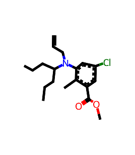 C=CCN(c1cc(Cl)cc(C(=O)OC)c1C)C(CCC)CCC